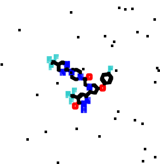 O=C(CN1CC(Oc2ccc(F)cc2)CC1c1cc(C(F)(F)F)c(=O)[nH]n1)N1CCN(c2ncc(C(F)(F)F)cn2)CC1